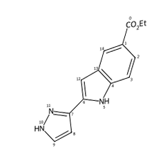 CCOC(=O)c1ccc2[nH]c(-c3cc[nH]n3)cc2c1